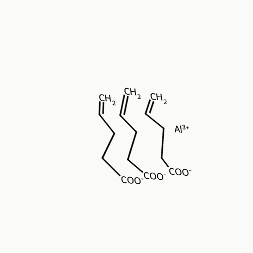 C=CCCC(=O)[O-].C=CCCC(=O)[O-].C=CCCC(=O)[O-].[Al+3]